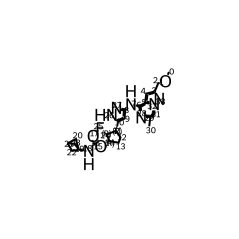 COCc1cc2c(Nc3cc([C@H]4CC[C@@H](OC(=O)NC56CC(C5)C6)[C@@H]4F)[nH]n3)nc(C)cn2n1